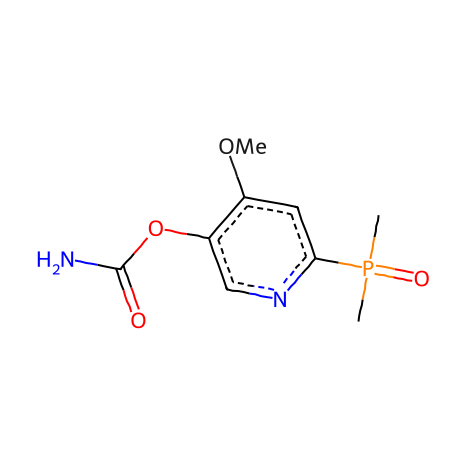 COc1cc(P(C)(C)=O)ncc1OC(N)=O